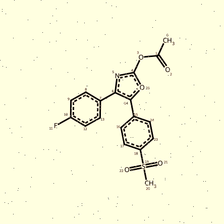 CC(=O)Oc1nc(-c2ccc(F)cc2)c(-c2ccc(S(C)(=O)=O)cc2)o1